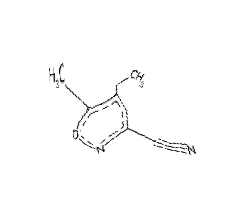 Cc1onc(C#N)c1C